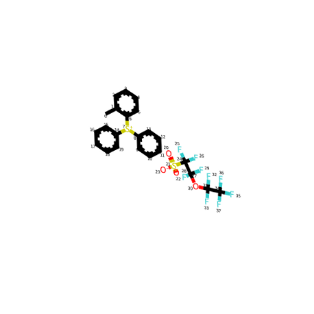 Cc1ccccc1[S+](c1ccccc1)c1ccccc1.O=S(=O)([O-])C(F)(F)C(F)(F)OC(F)(F)C(F)(F)F